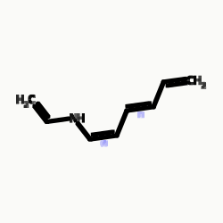 C=C/C=C/C=C\NC=C